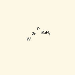 [BaH2].[W].[Y].[Zr]